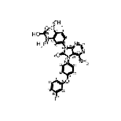 COc1ccc(-n2c(=O)n(-c3ccc(Oc4cccc(F)c4)cc3)c3c(N)ncnc32)cc1N(C)C(=O)O